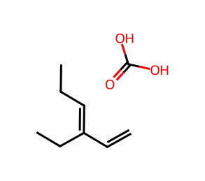 C=CC(=CCC)CC.O=C(O)O